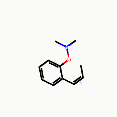 C/C=C\c1ccccc1ON(C)C